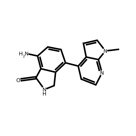 Cn1ccc2c(-c3ccc(N)c4c3CNC4=O)ccnc21